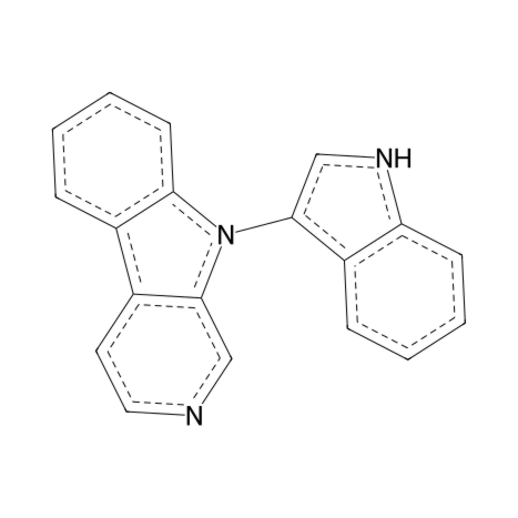 c1ccc2c(-n3c4ccccc4c4ccncc43)c[nH]c2c1